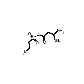 NCCS(=O)(=O)OC(=O)CC(N)N